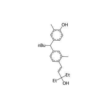 CCCCC(c1ccc(O)c(C)c1)c1ccc(C=CC(O)(CC)CC)c(C)c1